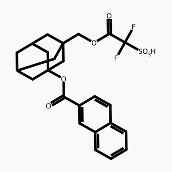 O=C(OC12CC3CC(CC(COC(=O)C(F)(F)S(=O)(=O)O)(C3)C1)C2)c1ccc2ccccc2c1